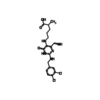 CC(CCCNc1c(C=N)nc(NCc2ccc(Cl)c(Cl)c2)[nH]c1=O)C(=O)O